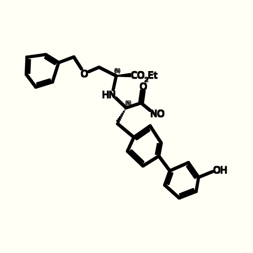 CCOC(=O)[C@H](COCc1ccccc1)N[C@@H](Cc1ccc(-c2cccc(O)c2)cc1)C(=O)N=O